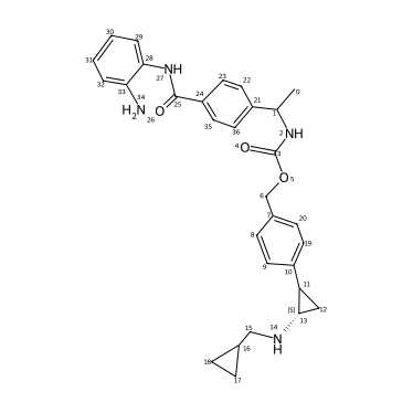 CC(NC(=O)OCc1ccc(C2C[C@@H]2NCC2CC2)cc1)c1ccc(C(=O)Nc2ccccc2N)cc1